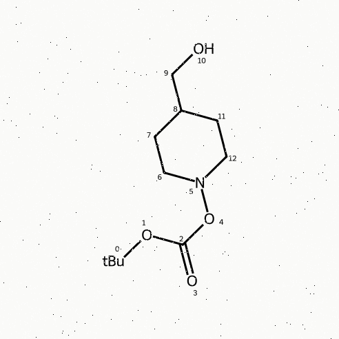 CC(C)(C)OC(=O)ON1CCC(CO)CC1